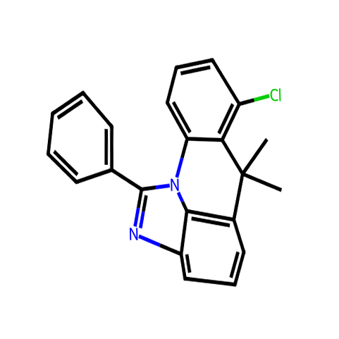 CC1(C)c2c(Cl)cccc2-n2c(-c3ccccc3)nc3cccc1c32